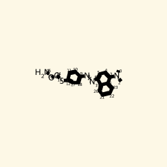 CN(C)c1ccc(N=Nc2ccc(SOON)cc2)c2ccccc12